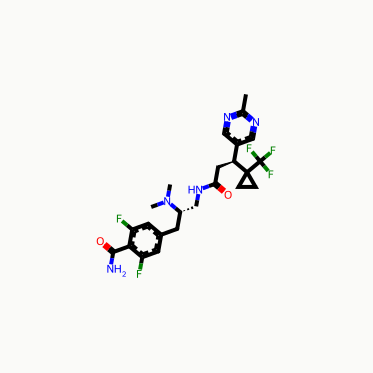 Cc1ncc([C@H](CC(=O)NC[C@H](Cc2cc(F)c(C(N)=O)c(F)c2)N(C)C)C2(C(F)(F)F)CC2)cn1